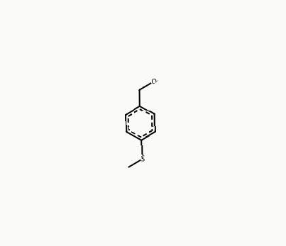 CSc1ccc(C[O])cc1